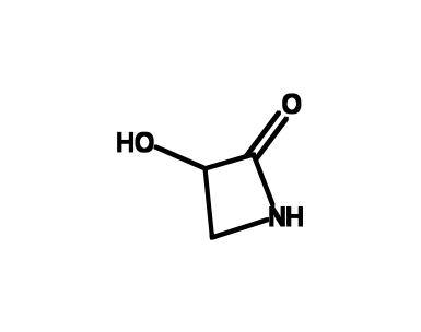 O=C1NCC1O